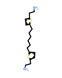 NCCc1ccc(CCCCCCc2ccc(CCN)s2)s1